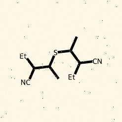 CCC(C#N)C(C)SC(C)C(C#N)CC